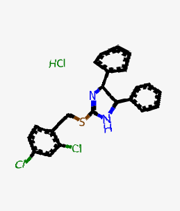 Cl.Clc1ccc(CSC2=NC(c3ccccc3)C(c3ccccc3)N2)c(Cl)c1